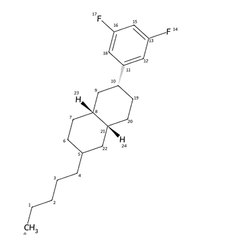 CCCCCC1CC[C@@H]2C[C@H](c3cc(F)cc(F)c3)CC[C@@H]2C1